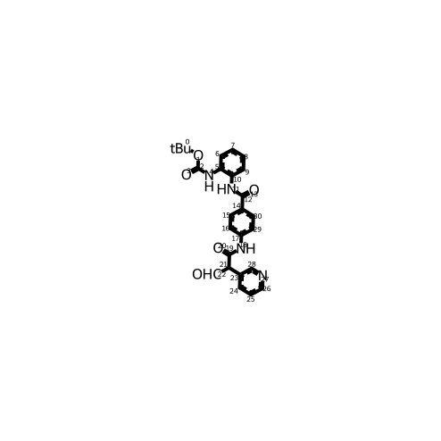 CC(C)(C)OC(=O)Nc1ccccc1NC(=O)c1ccc(NC(=O)C(C=O)c2cccnc2)cc1